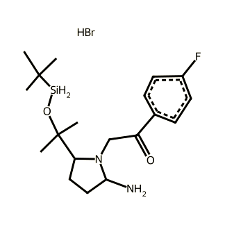 Br.CC(C)(C)[SiH2]OC(C)(C)C1CCC(N)N1CC(=O)c1ccc(F)cc1